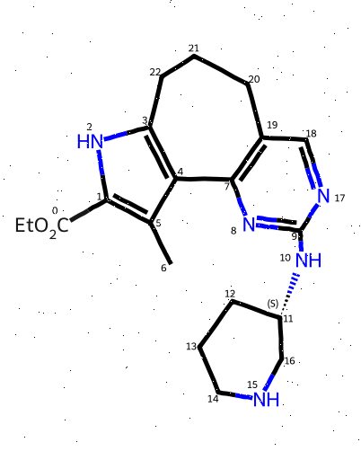 CCOC(=O)c1[nH]c2c(c1C)-c1nc(N[C@H]3CCCNC3)ncc1CCC2